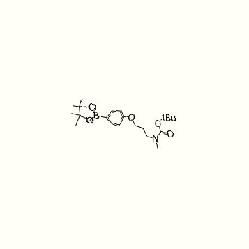 CN(CCCOc1ccc(B2OC(C)(C)C(C)(C)O2)cc1)C(=O)OC(C)(C)C